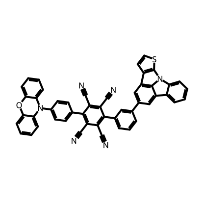 N#Cc1c(C#N)c(-c2cccc(-c3cc4c5ccccc5n5c6sccc6c(c3)c45)c2)c(C#N)c(C#N)c1-c1ccc(N2c3ccccc3Oc3ccccc32)cc1